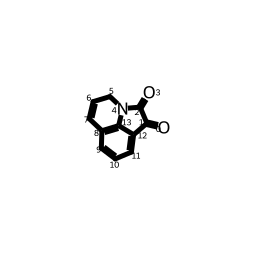 O=C1C(=O)N2CC=Cc3cccc1c32